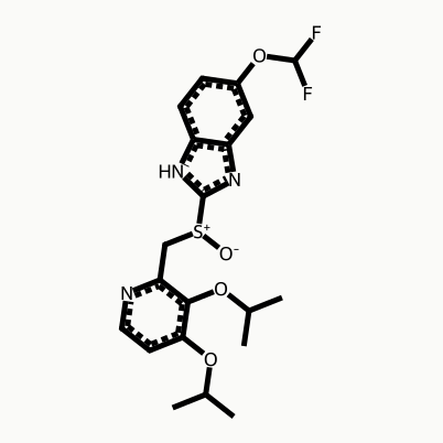 CC(C)Oc1ccnc(C[S+]([O-])c2nc3cc(OC(F)F)ccc3[nH]2)c1OC(C)C